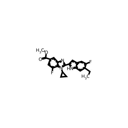 CCc1cc2[nH]c(-c3nc4cc(C(=O)OC)cc(F)c4n3C3CC3)cc2cc1F